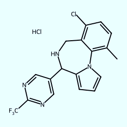 Cc1ccc(Cl)c2c1-n1cccc1C(c1cnc(C(F)(F)F)nc1)NC2.Cl